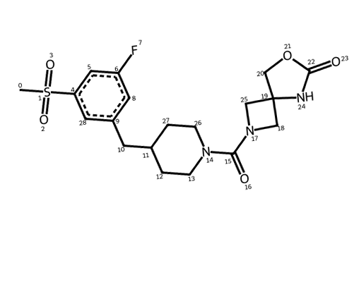 CS(=O)(=O)c1cc(F)cc(CC2CCN(C(=O)N3CC4(COC(=O)N4)C3)CC2)c1